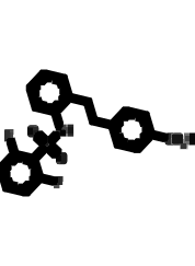 O=C(O)c1ccc(CCc2ccccc2NS(=O)(=O)c2c(F)cccc2F)cc1